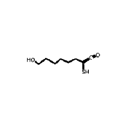 O=C=C(S)CCCCCCO